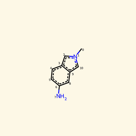 Cn1cc2ccc(N)cc2c1